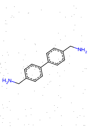 NCc1ccc(-c2ccc(CN)cc2)cc1